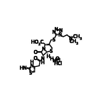 CN(C)CCn1nnnc1SCC1=C(C(=O)O)N2C(=O)[C@@H](NC(=O)Cc3csc(=N)[nH]3)[C@@H]2SC1.Cl.Cl.O